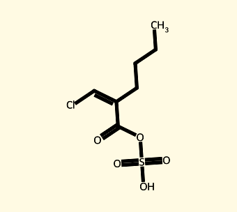 CCCCC(=CCl)C(=O)OS(=O)(=O)O